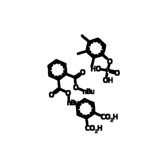 CCCCOC(=O)c1ccccc1C(=O)OCCCC.Cc1ccc(OP(=O)(O)O)c(C)c1C.O=C(O)c1ccccc1C(=O)O